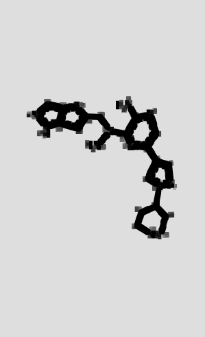 Nc1ncc(-c2cnn(C3CCNCC3)c2)nc1N(N)Cc1cc2[nH]ncc2s1